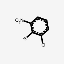 O=[N+]([O-])c1cccc(Cl)c1[S]